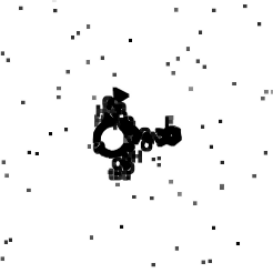 C=C1[C@@H](NC(=O)OC(C)(C)C)CCCOCCC[C@@H]2C[C@@]2(C(=O)NS(=O)(=O)C2CC2)NC(=O)[C@@H]2C[C@@H](OC(=O)N3Cc4cccc(F)c4C3)CN12